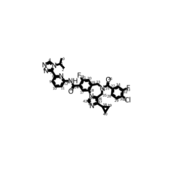 CC(C)n1cnnc1-c1cccc(NC(=O)c2cc3c(cc2F)CN(C(=O)c2ccc(Cl)c(F)c2)Cc2c(C4CC4)ncn2-3)n1